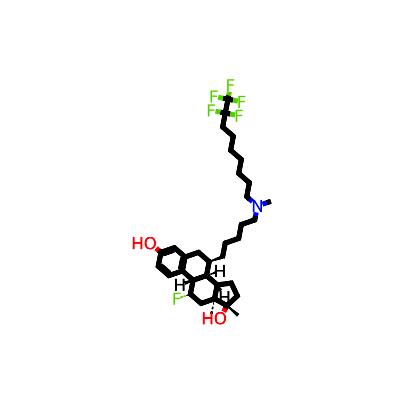 CN(CCCCCCCC(F)(F)C(F)(F)F)CCCCC[C@@H]1Cc2cc(O)ccc2[C@@H]2[C@@H]1[C@@H]1CC[C@](C)(O)[C@@]1(C)C[C@@H]2F